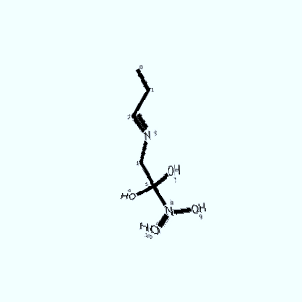 CCC=NCC(O)(O)N(O)O